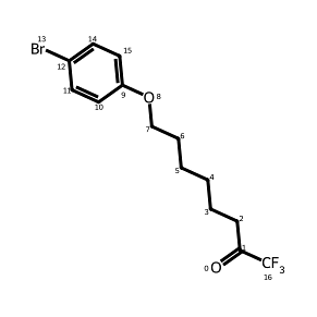 O=C(CCCCCCOc1ccc(Br)cc1)C(F)(F)F